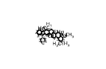 COC(=O)[C@@]12CCC3C(C=CC4[C@@]3(C)CCC3C(C)(C)[C@](O)(c5ccccc5)C(CN5CCOCC5)C[C@@]34C)C1CC(C)(C)CC2